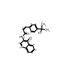 CCC(C)(C)c1ccc(/C=C\C(=O)Nc2cnc3ccccc3c2Cl)cc1